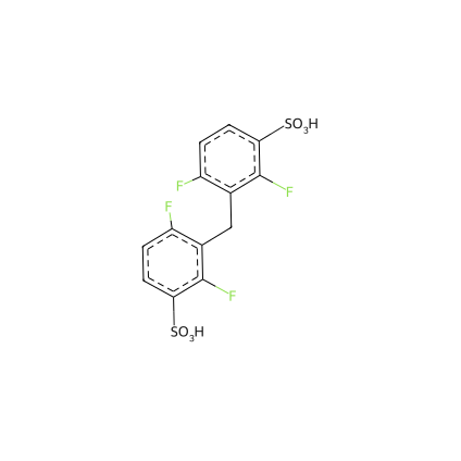 O=S(=O)(O)c1ccc(F)c(Cc2c(F)ccc(S(=O)(=O)O)c2F)c1F